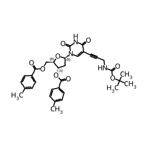 Cc1ccc(C(=O)OC[C@H]2O[C@@H](n3cc(C#CCNC(=O)OC(C)(C)C)c(=O)[nH]c3=O)C[C@@H]2OC(=O)c2ccc(C)cc2)cc1